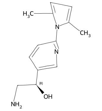 Cc1ccc(C)n1-c1ccc([C@@H](O)CN)cn1